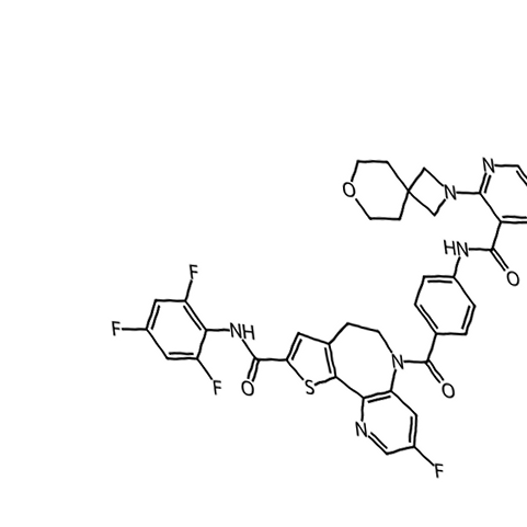 O=C(Nc1c(F)cc(F)cc1F)c1cc2c(s1)-c1ncc(F)cc1N(C(=O)c1ccc(NC(=O)c3cccnc3N3CC4(CCOCC4)C3)cc1)CC2